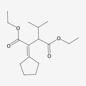 CCOC(=O)C(=C1CCCC1)C(C(=O)OCC)C(C)C